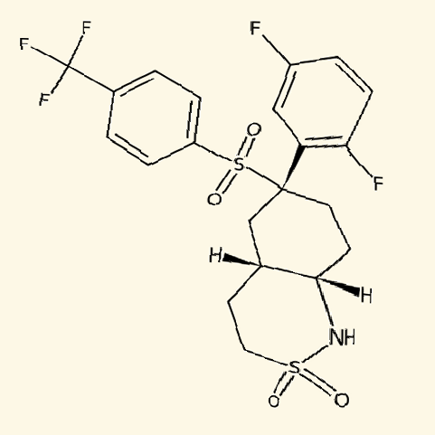 O=S1(=O)CC[C@@H]2C[C@](c3cc(F)ccc3F)(S(=O)(=O)c3ccc(C(F)(F)F)cc3)CC[C@@H]2N1